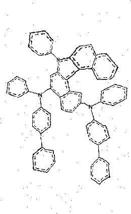 c1ccc(-c2ccc(N(c3ccccc3)c3ccc4c(N(c5ccccc5)c5ccc(-c6ccccc6)cc5)cc5c(c4c3)c3c4ccccc4ccc3n5-c3ccccc3)cc2)cc1